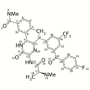 CNC(=O)c1ccc(C)c(-c2[nH]c(=O)c(NC(=O)[C@H](C)NC)nc2Cc2cc(C(=O)c3ccc(F)cc3)cc(C(F)(F)F)c2)c1